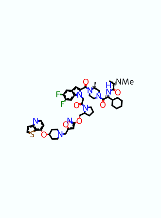 CN[C@@H](C)C(=O)N[C@H](C(=O)N1CCN(C(=O)c2cc3cc(F)c(F)cc3n2CC(=O)N2CCCC2COc2cc(CN3CCC(Oc4ccnc5ccsc45)CC3)on2)[C@@H](C)C1)C1CCCCC1